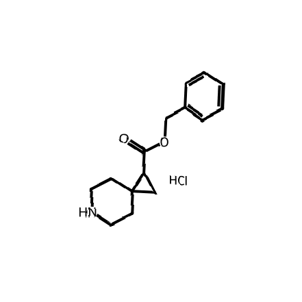 Cl.O=C(OCc1ccccc1)C1CC12CCNCC2